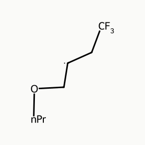 CCCOC[CH]CC(F)(F)F